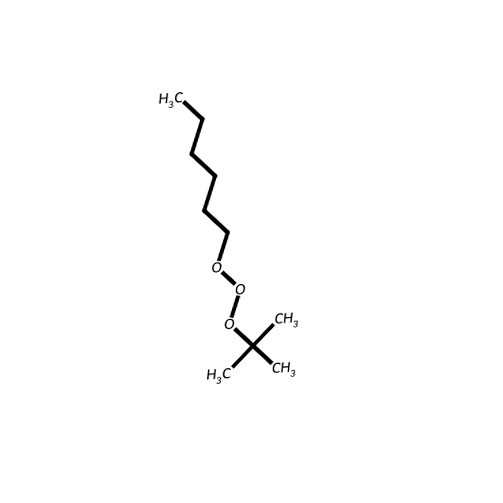 CCCCCCOOOC(C)(C)C